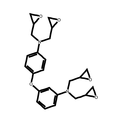 c1cc(Oc2ccc(N(CC3CO3)CC3CO3)cc2)cc(N(CC2CO2)CC2CO2)c1